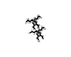 CCC[CH2][Sn]([CH2]CCC)([CH2]CCC)[CH2]CCC.CCC[CH2][Sn]([CH2]CCC)([CH2]CCC)[CH2]CCC